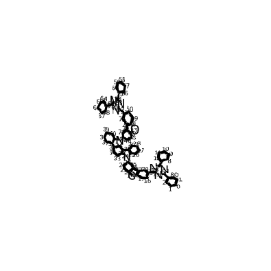 c1ccc(-c2nc(-c3ccccc3)nc(-c3ccc4oc5ccc(-n6c7ccccc7c7c6ccc6c8ccccc8n(-c8ccc9oc%10ccc(-c%11nc(-c%12ccccc%12)nc(-c%12ccccc%12)n%11)cc%10c9c8)c67)cc5c4c3)n2)cc1